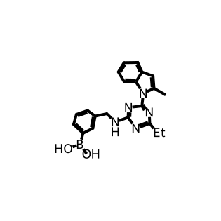 CCc1nc(NCc2cccc(B(O)O)c2)nc(-n2c(C)cc3ccccc32)n1